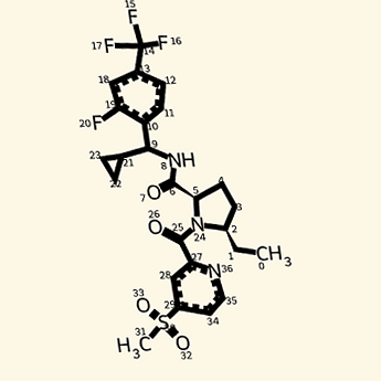 CC[C@@H]1CC[C@H](C(=O)NC(c2ccc(C(F)(F)F)cc2F)C2CC2)N1C(=O)c1cc(S(C)(=O)=O)ccn1